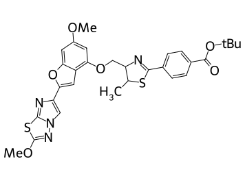 COc1cc(OCC2N=C(c3ccc(C(=O)OC(C)(C)C)cc3)SC2C)c2cc(-c3cn4nc(OC)sc4n3)oc2c1